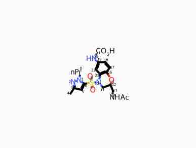 CCCn1nc(C)cc1S(=O)(=O)N1CC(CNC(C)=O)Oc2ccc(NC(=O)O)cc21